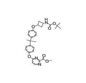 COC(=O)c1nccc(Oc2ccc(C(C)(C)c3ccc(OC4CC(NC(=O)OC(C)(C)C)C4)cc3)cc2)n1